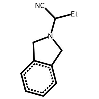 CCC(C#N)N1Cc2ccccc2C1